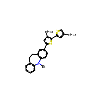 CCCCCCc1csc(-c2sc(-c3ccc4c(c3)CCc3ccccc3N4CC)cc2CCCCCC)c1